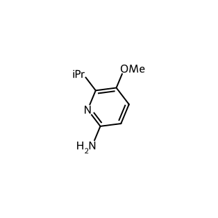 COc1ccc(N)nc1C(C)C